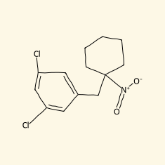 O=[N+]([O-])C1(Cc2cc(Cl)cc(Cl)c2)CCCCC1